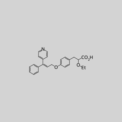 CCOC(Cc1ccc(OCC=C(c2ccccc2)c2ccncc2)cc1)C(=O)O